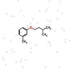 Cc1cccc(OCCC(C)C)c1